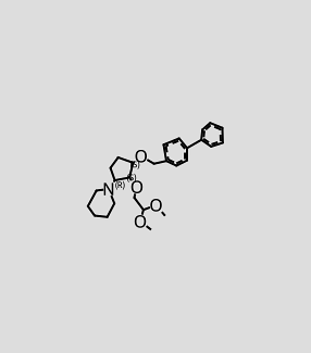 COC(CO[C@@H]1[C@@H](OCc2ccc(-c3ccccc3)cc2)CC[C@H]1N1CCCCC1)OC